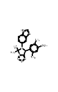 COc1cc(C)c(C2c3nnnn3C(C)(C)N2c2ccc3[nH]cnc3c2)cc1C